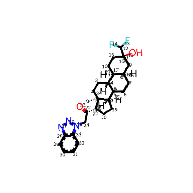 C[C@]12CC[C@H]3[C@@H](CC[C@@H]4C[C@@](O)(C(F)F)CC[C@@H]43)[C@@H]1CC[C@@H]2C(=O)Cn1nnc2ccccc21